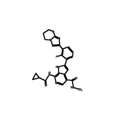 CNC(=O)c1cnc(NC(=O)C2CC2)c2[nH]c(-c3cccc(-c4cn5c(n4)OCCC5)c3F)cc12